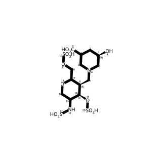 O=C(O)C1C[C@@H](O)CN(C[C@@H]2C(COS(=O)(=O)O)OCC(NS(=O)(=O)O)[C@@H]2OS(=O)(=O)O)C1